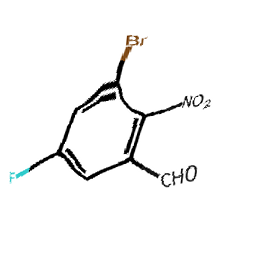 O=Cc1cc(F)cc(Br)c1[N+](=O)[O-]